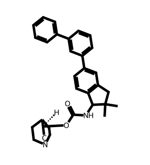 CC1(C)Cc2cc(-c3cccc(-c4ccccc4)c3)ccc2C1NC(=O)O[C@H]1CN2CCC1CC2